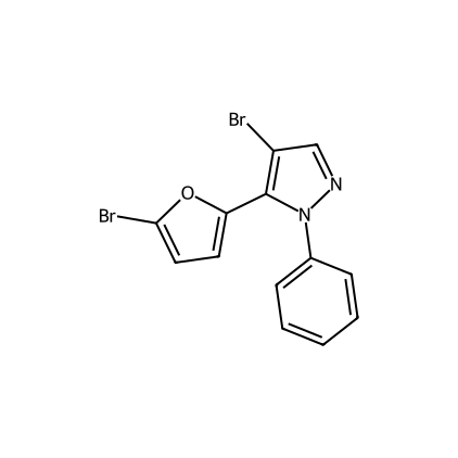 Brc1ccc(-c2c(Br)cnn2-c2ccccc2)o1